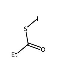 CCC(=O)SI